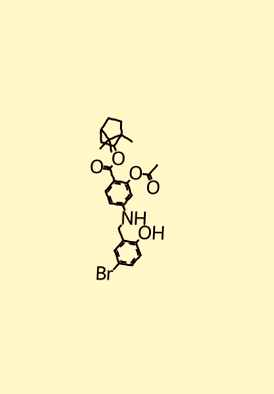 CC(=O)Oc1cc(NCc2cc(Br)ccc2O)ccc1C(=O)OC1CC2CCC1(C)C2(C)C